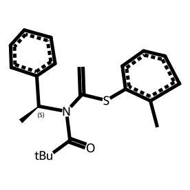 C=C(Sc1ccccc1C)N(C(=O)C(C)(C)C)[C@@H](C)c1ccccc1